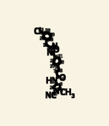 C[C@@H]1C[C@@H](NC(=O)/C=C/c2ccc(-c3nc(Cc4cccc(Cl)c4)no3)cc2)CN1C#N